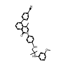 COc1cccc(NC(C)(C)CNc2ccc(-n3cc(C)c4c(-c5ccc(C#N)cc5)cccc4c3=O)cc2)c1